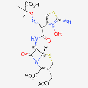 CC(=O)OCC1=C(C(=O)O)N2C(=O)[C@@H](NC(=O)C(=NOC(C)(C)C(=O)O)c3csc(=N)n3O)[C@@H]2SC1